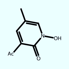 CC(=O)c1cc(C)cn(O)c1=O